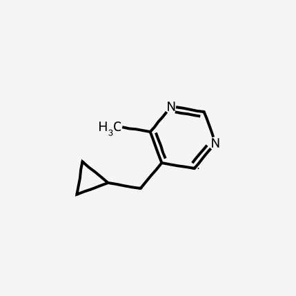 Cc1ncn[c]c1CC1CC1